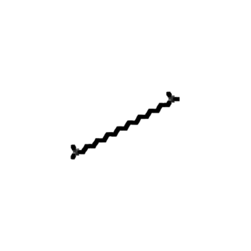 CN(C)CCCCCCCCCCCCCCCCCN(C)C